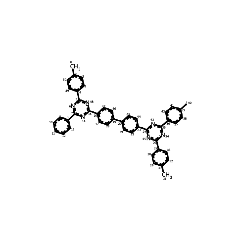 Cc1ccc(-c2nc(-c3ccccc3)nc(-c3ccc(-c4ccc(-c5nc(-c6ccc(C)cc6)nc(-c6ccc(I)cc6)n5)cc4)cc3)n2)cc1